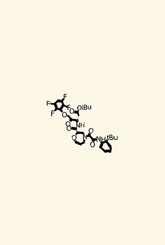 CC(C)COC(=O)C[C@H](NC(=O)[C@@H]1CN(C(=O)C(=O)Nc2ccccc2C(C)(C)C)CCCO1)C(=O)COc1c(F)c(F)cc(F)c1F